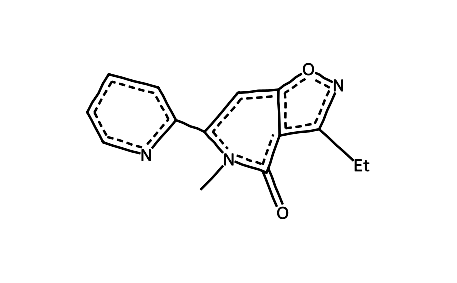 CCc1noc2cc(-c3ccccn3)n(C)c(=O)c12